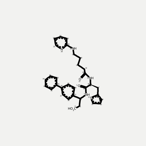 O=C(O)CC(NC(=O)[C@H](Cc1cccs1)NC(=O)CCCCNc1ccccn1)c1ccc(-c2ccccc2)cc1